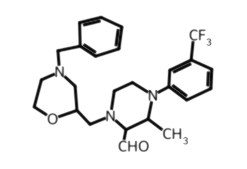 CC1C(C=O)N(CC2CN(Cc3ccccc3)CCO2)CCN1c1cccc(C(F)(F)F)c1